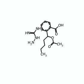 CCCCC(OC(C)=O)c1ccccc1C(=O)O.N=C(N)NN